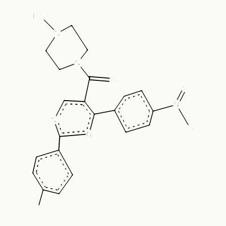 CN1CCN(C(=O)c2cnc(-c3ccc(Cl)cc3)nc2-c2ccc([N+](=O)[O-])cc2)CC1